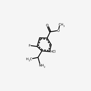 COC(=O)c1ccc(C(C)N)c(F)c1.Cl